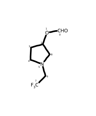 O=COC1CCN(CC(F)(F)F)C1